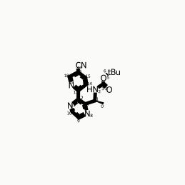 C[C@H](NC(=O)OC(C)(C)C)c1nccnc1-c1ccc(C#N)cn1